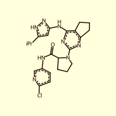 CC(C)c1cc(Nc2nc(N3CCCC3C(=O)Nc3ccc(Cl)nc3)nc3c2CCC3)n[nH]1